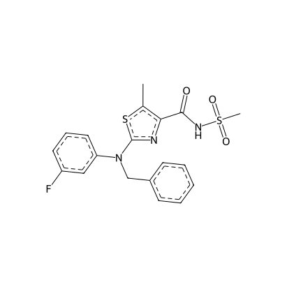 Cc1sc(N(Cc2ccccc2)c2cccc(F)c2)nc1C(=O)NS(C)(=O)=O